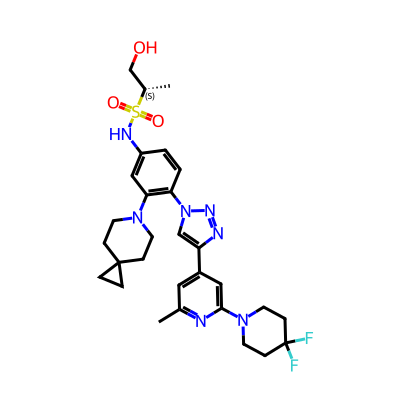 Cc1cc(-c2cn(-c3ccc(NS(=O)(=O)[C@@H](C)CO)cc3N3CCC4(CC3)CC4)nn2)cc(N2CCC(F)(F)CC2)n1